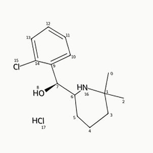 CC1(C)CCCC([C@@H](O)c2ccccc2Cl)N1.Cl